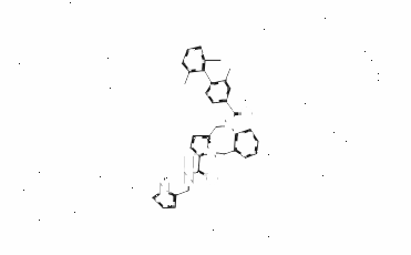 Cc1cc(C(=O)N2Cc3ccc(C(=O)NCc4cccn4C)n3Cc3ccccc32)ccc1-c1c(C)cccc1C